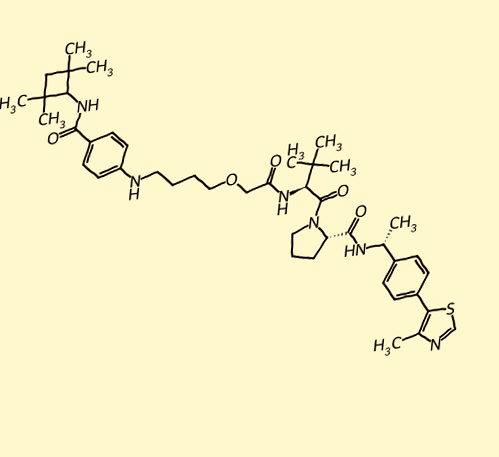 Cc1ncsc1-c1ccc([C@@H](C)NC(=O)[C@@H]2CCCN2C(=O)[C@@H](NC(=O)COCCCCNc2ccc(C(=O)NC3C(C)(C)CC3(C)C)cc2)C(C)(C)C)cc1